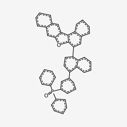 O=P(c1ccccc1)(c1ccccc1)c1cccc(-c2ccc(-c3cc4ccccc4c4c3oc3cc5ccccc5cc34)c3ccccc23)c1